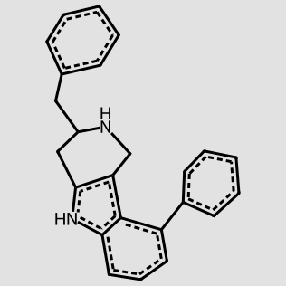 c1ccc(CC2Cc3[nH]c4cccc(-c5ccccc5)c4c3CN2)cc1